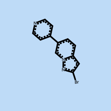 Brc1cc2ccc(-c3ccncc3)cn2n1